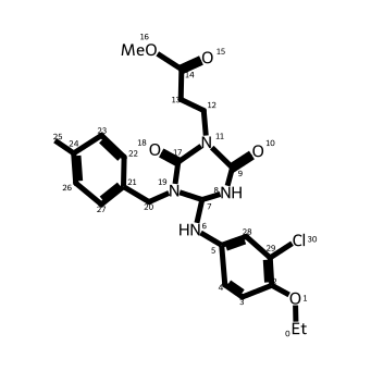 CCOc1ccc(NC2NC(=O)N(CCC(=O)OC)C(=O)N2Cc2ccc(C)cc2)cc1Cl